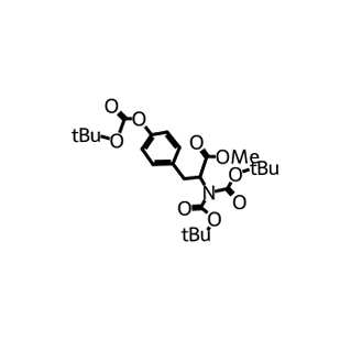 COC(=O)C(Cc1ccc(OC(=O)OC(C)(C)C)cc1)N(C(=O)OC(C)(C)C)C(=O)OC(C)(C)C